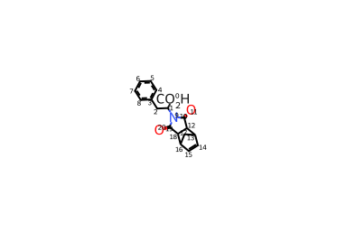 O=C(O)C(Cc1ccccc1)N1C(=O)C2C3C=CC(C3)C2C1=O